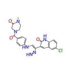 CN1CCN(C(=O)c2ccc(N/C=C(\N=N)c3cc4cc(Cl)ccc4[nH]c3=O)cc2)CC1=O